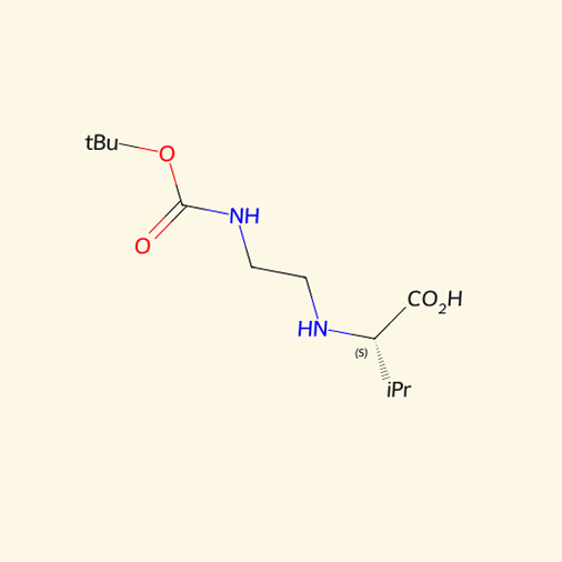 CC(C)[C@H](NCCNC(=O)OC(C)(C)C)C(=O)O